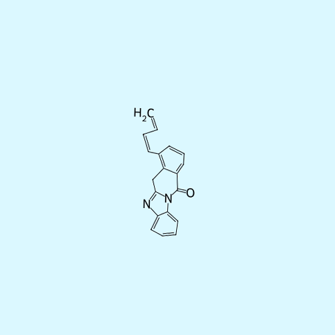 C=C/C=C\c1cccc2c1Cc1nc3ccccc3n1C2=O